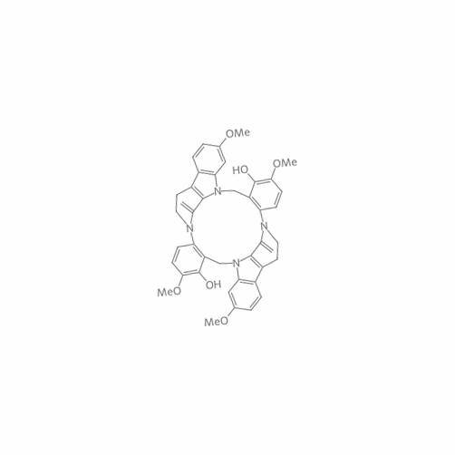 C=C1c2c3c4ccc(OC)cc4n2Cc2c(ccc(OC)c2O)N2CCc4c(n(c5cc(OC)ccc45)Cc4c(ccc(OC)c4O)N1CC3)C2=C